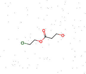 [O]CCC(=O)OCCCl